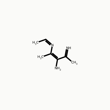 C/C=N\C(C)=C(\N)C(C)=N